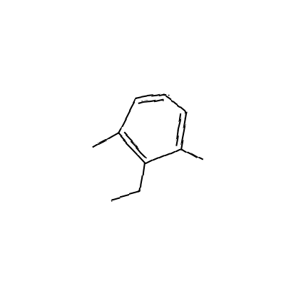 CCc1c(C)c[c]cc1C